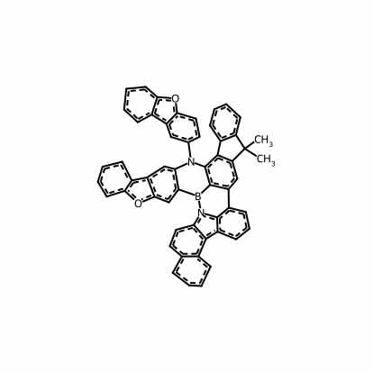 CC1(C)c2ccccc2-c2c1cc1c3c2N(c2ccc4oc5ccccc5c4c2)c2cc4c(cc2B3n2c3ccc5ccccc5c3c3cccc-1c32)oc1ccccc14